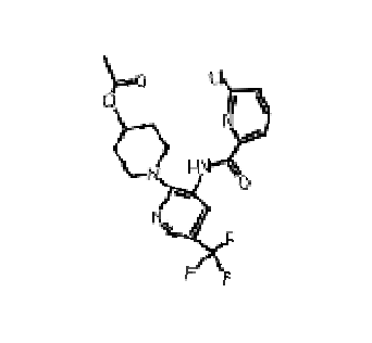 CC(=O)OC1CCN(c2ncc(C(F)(F)F)cc2NC(=O)c2cccc(Cl)n2)CC1